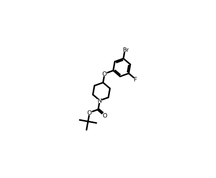 CC(C)(C)OC(=O)N1CCC(Oc2cc(F)cc(Br)c2)CC1